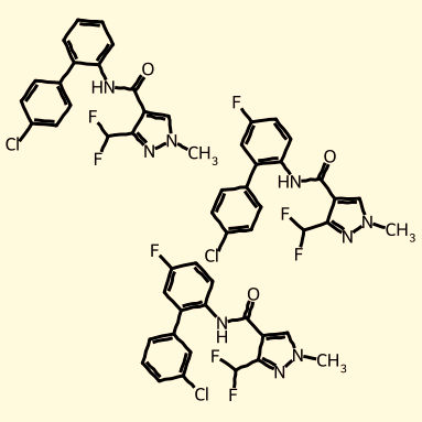 Cn1cc(C(=O)Nc2ccc(F)cc2-c2ccc(Cl)cc2)c(C(F)F)n1.Cn1cc(C(=O)Nc2ccc(F)cc2-c2cccc(Cl)c2)c(C(F)F)n1.Cn1cc(C(=O)Nc2ccccc2-c2ccc(Cl)cc2)c(C(F)F)n1